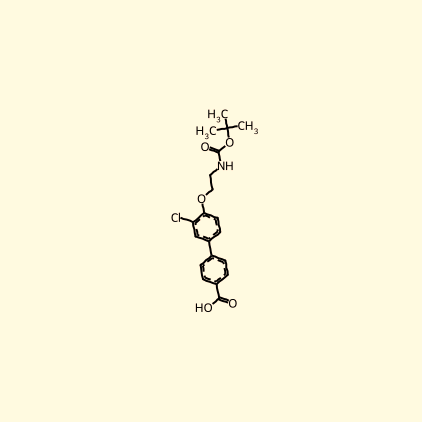 CC(C)(C)OC(=O)NCCOc1ccc(-c2ccc(C(=O)O)cc2)cc1Cl